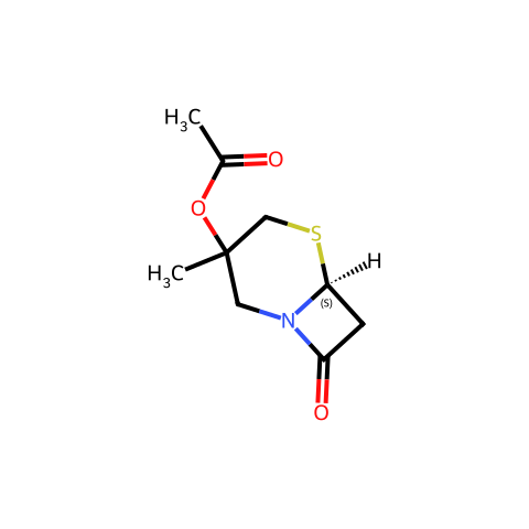 CC(=O)OC1(C)CS[C@H]2CC(=O)N2C1